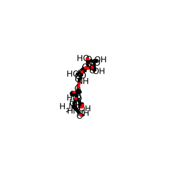 CCC(=O)NCCNC(=O)/N=C(/N)NCCC[C@@H](NC(=O)[C@@H](c1ccccc1)c1cccc(OCCCCNC(=O)CCC(=O)N(CC(=O)O)C2CCN(C(=O)CN3CCN(CC(=O)O)CCN(CC(=O)O)CCN(CC(=O)O)CC3)CC2)c1)C(=O)NCc1ccc(O)cc1